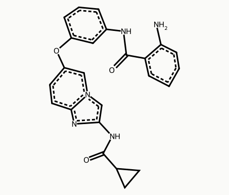 Nc1ccccc1C(=O)Nc1cccc(Oc2ccc3nc(NC(=O)C4CC4)cn3c2)c1